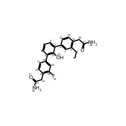 CCc1cc(-c2cccc(-c3ccc(CC(N)=O)c(F)c3)c2O)ccc1CC(N)=O